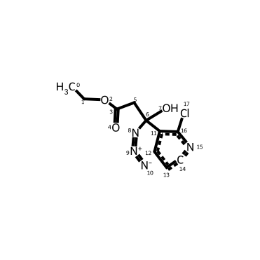 CCOC(=O)CC(O)(N=[N+]=[N-])c1cccnc1Cl